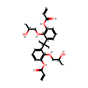 C=CC(=O)Oc1cccc(C(C)(C)c2cccc(OC(=O)C=C)c2OCC(C)O)c1OCC(C)O